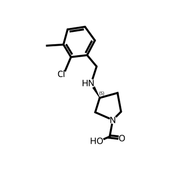 Cc1cccc(CN[C@H]2CCN(C(=O)O)C2)c1Cl